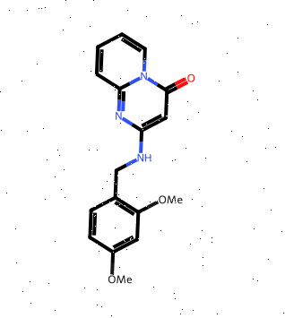 COc1ccc(CNc2cc(=O)n3ccccc3n2)c(OC)c1